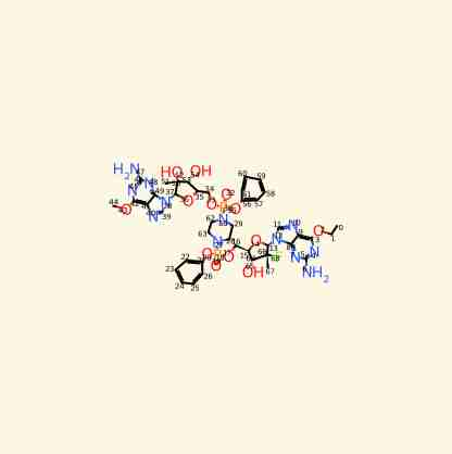 CCOc1nc(N)nc2c1ncn2[C@@H]1O[C@H](COP(=O)(Oc2ccccc2)N2CCN(P(=O)(OCC3O[C@@H](n4cnc5c(OC)nc(N)nc54)[C@](C)(O)[C@@H]3O)Oc3ccccc3)CC2)[C@@H](O)[C@@]1(C)F